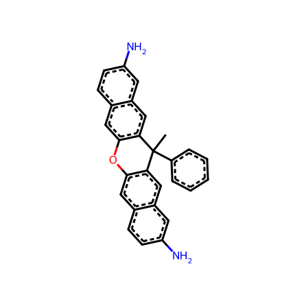 CC1(c2ccccc2)c2cc3cc(N)ccc3cc2Oc2cc3ccc(N)cc3cc21